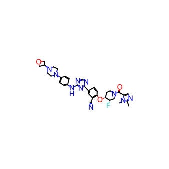 Cc1ncc(C(=O)N2CC[C@H](Oc3ccc(-c4ncnc(Nc5ccc(N6CCN(C7COC7)CC6)cc5)n4)cc3C#N)[C@@H](F)C2)n1C